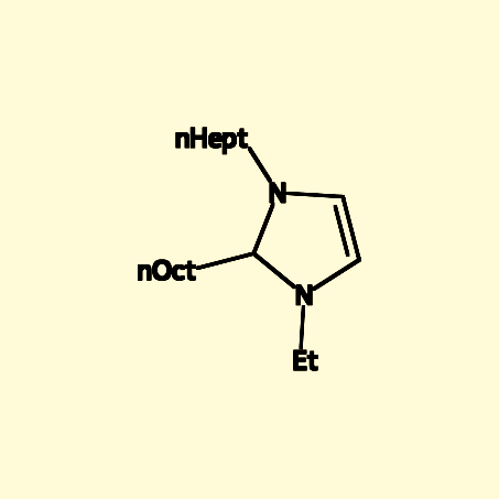 CCCCCCCCC1N(CC)C=CN1CCCCCCC